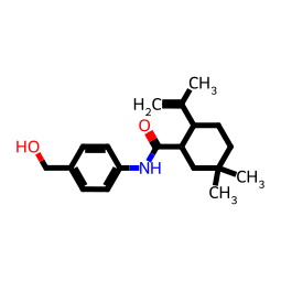 C=C(C)C1CCC(C)(C)CC1C(=O)Nc1ccc(CO)cc1